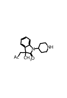 CC(=O)CC1(C)C(=O)N(C2CCNCC2)c2ccccc21